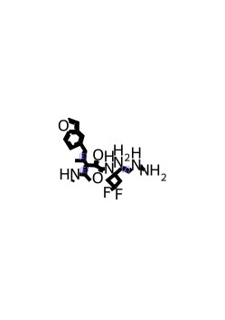 CN/C(C)=C(C(=O)C(=O)NC1(/C(N)=C/NN)CC(F)(F)C1)\C(C)=C\c1ccc2occc2c1